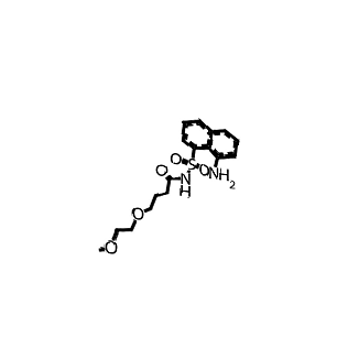 COCCOCCCC(=O)NS(=O)(=O)c1cccc2cccc(N)c12